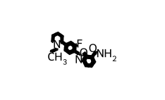 CCCN1CCCCC1c1ccc(-c2nc3cccc(C(N)=O)c3o2)c(F)c1